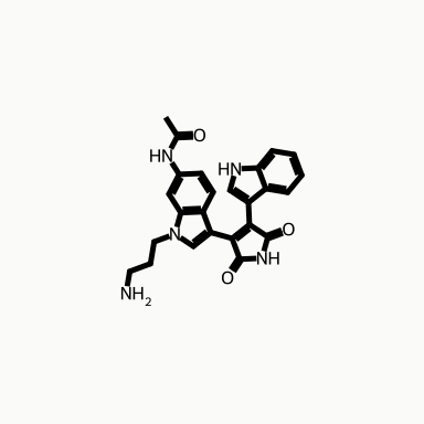 CC(=O)Nc1ccc2c(C3=C(c4c[nH]c5ccccc45)C(=O)NC3=O)cn(CCCN)c2c1